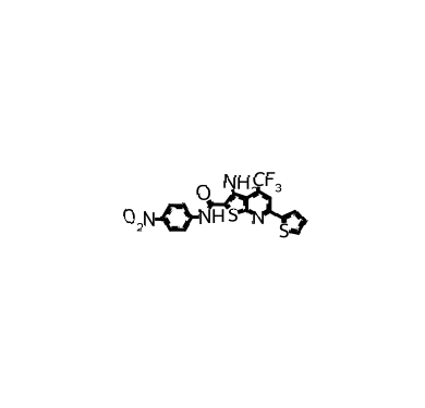 Nc1c(C(=O)Nc2ccc([N+](=O)[O-])cc2)sc2nc(-c3cccs3)cc(C(F)(F)F)c12